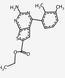 CCOC(=O)c1cc2c(-c3cccc(C)c3C)nc(N)nc2s1